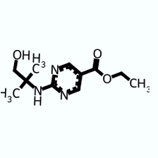 CCOC(=O)c1cnc(NC(C)(C)CO)nc1